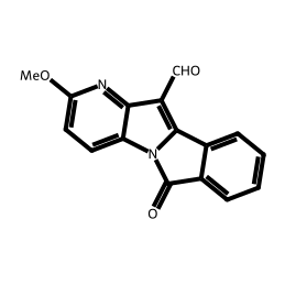 COc1ccc2c(n1)c(C=O)c1n2C(=O)c2ccccc2-1